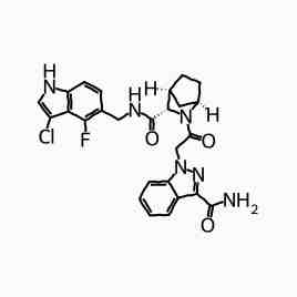 NC(=O)c1nn(CC(=O)N2[C@@H]3CC[C@@H](C3)[C@H]2C(=O)NCc2ccc3[nH]cc(Cl)c3c2F)c2ccccc12